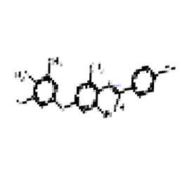 C/C(=N\c1c(C)cc(Cc2cc(C)c(N)c(C(C)C)c2)cc1C(C)C)c1ccc(O)cc1